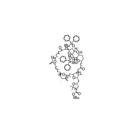 C=C1C[C@@H]2CCC(=O)C[C@H]3O[C@H]4[C@@H](O[Si](c5ccccc5)(c5ccccc5)C(C)(C)C)[C@H]5OC(CC[C@@H]5O[C@H]4[C@H]3O[Si](c3ccccc3)(c3ccccc3)C(C)(C)C)CC(=O)C[C@H]3C(C[C@H]4O[C@@H](CCC1O2)C[C@@H](C)C4=C)O[C@H](C[C@H]1CN(C(=O)OC(C)(C)C)C(C)(C)O1)[C@@H]3C